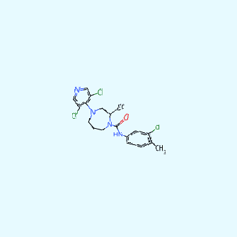 CCC1CN(c2c(Cl)cncc2Cl)CCCN1C(=O)Nc1ccc(C)c(Cl)c1